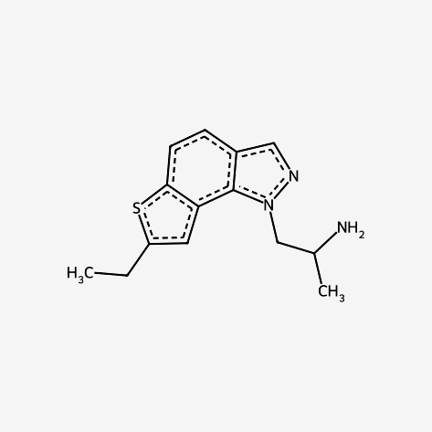 CCc1cc2c(ccc3cnn(CC(C)N)c32)s1